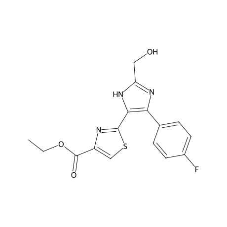 CCOC(=O)c1csc(-c2[nH]c(CO)nc2-c2ccc(F)cc2)n1